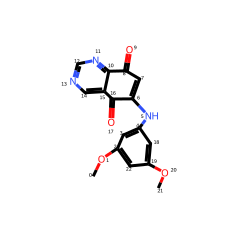 COc1cc(NC2=CC(=O)c3ncncc3C2=O)cc(OC)c1